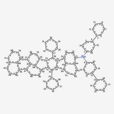 c1ccc(-c2ccc(N(c3ccc(-c4ccccc4)cc3)c3ccc4c5c(-c6ccccc6)c6c7ccc8c9cccc%10cccc(c%11ccc(c6c(-c6ccccc6)c5c5cccc3c54)c7c%118)c%109)cc2)cc1